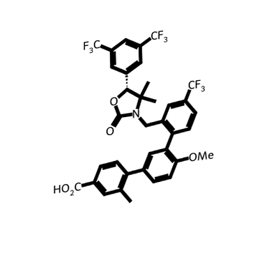 COc1ccc(-c2ccc(C(=O)O)cc2C)cc1-c1ccc(C(F)(F)F)cc1CN1C(=O)O[C@H](c2cc(C(F)(F)F)cc(C(F)(F)F)c2)C1(C)C